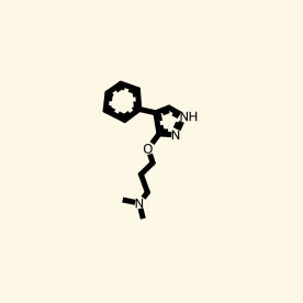 CN(C)CCCOc1n[nH]cc1-c1ccccc1